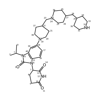 CC(C)n1c(=O)n(C2CCC(=O)NC2=O)c2ccc(N3CCC(CN4CCC(CC5CCNCC5)CC4)CC3)cc21